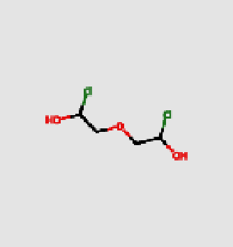 OC(Cl)COCC(O)Cl